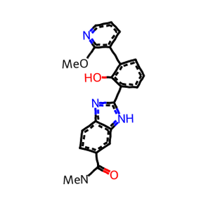 CNC(=O)c1ccc2nc(-c3cccc(-c4cccnc4OC)c3O)[nH]c2c1